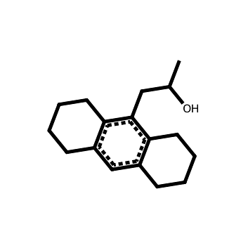 CC(O)Cc1c2c(cc3c1CCCC3)CCCC2